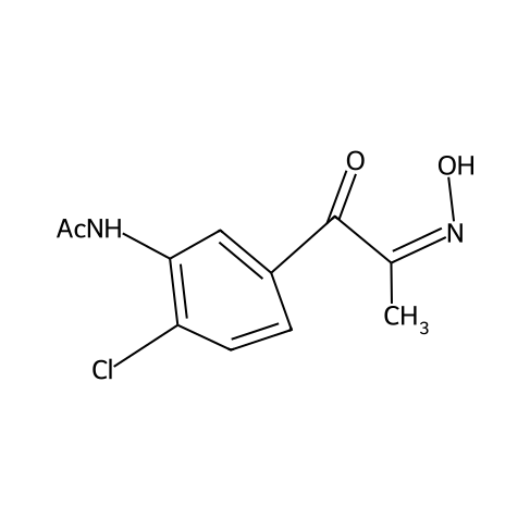 CC(=O)Nc1cc(C(=O)/C(C)=N\O)ccc1Cl